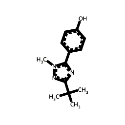 Cn1nc(C(C)(C)C)nc1-c1ccc(O)cc1